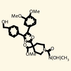 COC(=O)C1(c2nc(-c3ccc(CO)cc3)c(-c3ccc(OC)c(OC)c3)o2)CCN(C(=O)N(C)O)CC1